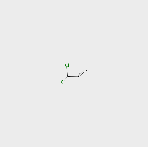 [CH]=CC(Cl)Cl